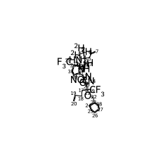 [2H]C([2H])([2H])C(CC=C)(Nc1nc(-c2nnc([C@@](CCC=C)(OCc3ccccc3)C(F)(F)F)o2)c([N+](=O)[O-])cc1C(F)(F)F)C([2H])([2H])[2H]